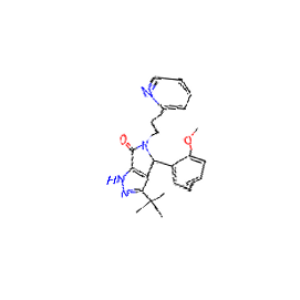 COc1ccccc1C1c2c(C(C)(C)C)n[nH]c2C(=O)N1CCc1ccccn1